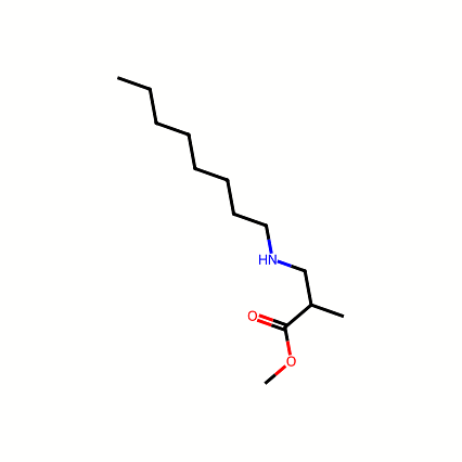 CCCCCCCCNCC(C)C(=O)OC